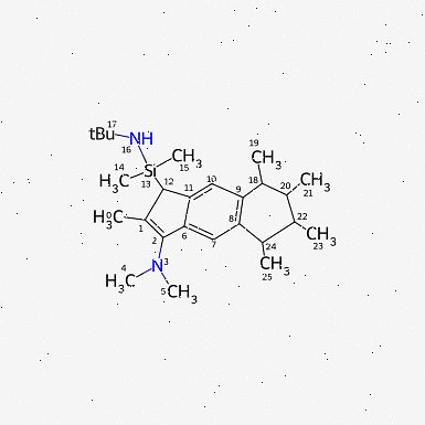 CC1=C(N(C)C)c2cc3c(cc2C1[Si](C)(C)NC(C)(C)C)C(C)C(C)C(C)C3C